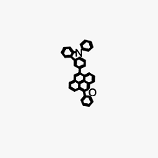 c1ccc(-n2c3ccccc3c3cc(-c4cc5cccc6c7c8ccccc8oc7c7cccc4c7c56)ccc32)cc1